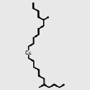 CCCCC(C)CCCCC[CH2][Cd][CH2]CCCCCC(C)CCCC